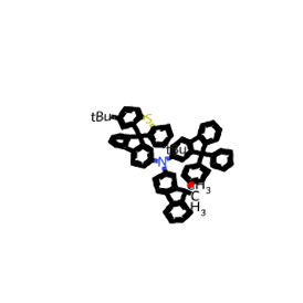 CC(C)(C)c1ccc2c(c1)C1(c3cc(C(C)(C)C)ccc3S2)c2ccccc2-c2ccc(N(c3ccc4c(c3)C(C)(C)c3ccccc3-4)c3ccc4c(c3)C(c3ccccc3)(c3ccccc3)c3ccccc3-4)cc21